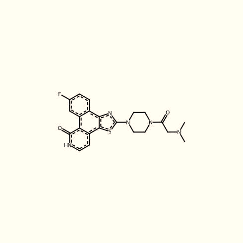 CN(C)CC(=O)N1CCN(c2nc3c4ccc(F)cc4c4c(=O)[nH]ccc4c3s2)CC1